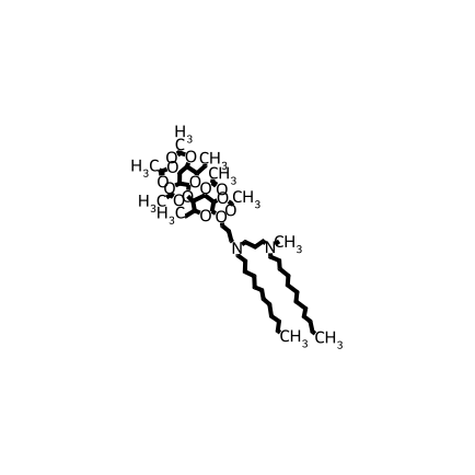 CCCCCCCCCCCCN(C)CCCN(CCCCCCCCCCCC)CCCOC1OC(CC)C(OC2OC(CC)C(OC(C)=O)C(OC(C)=O)C2OC(C)=O)C(OC(C)=O)C1OC(C)=O